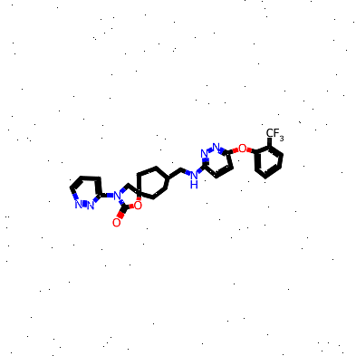 O=C1OC2(CCC(CNc3ccc(Oc4ccccc4C(F)(F)F)nn3)CC2)CN1c1cccnn1